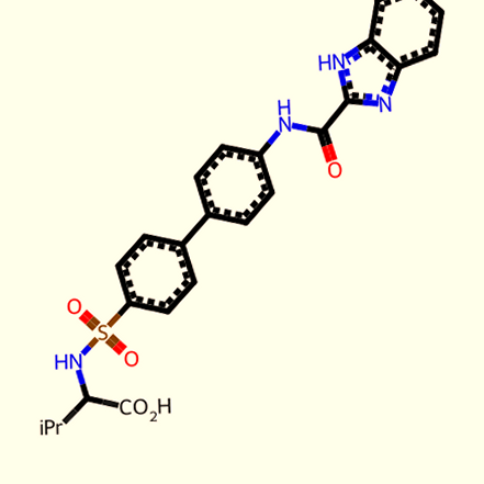 CC(C)C(NS(=O)(=O)c1ccc(-c2ccc(NC(=O)c3nc4ccccc4[nH]3)cc2)cc1)C(=O)O